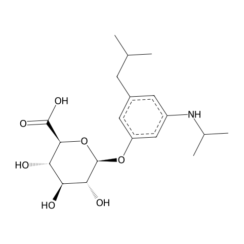 CC(C)Cc1cc(NC(C)C)cc(O[C@@H]2O[C@H](C(=O)O)[C@@H](O)[C@H](O)[C@H]2O)c1